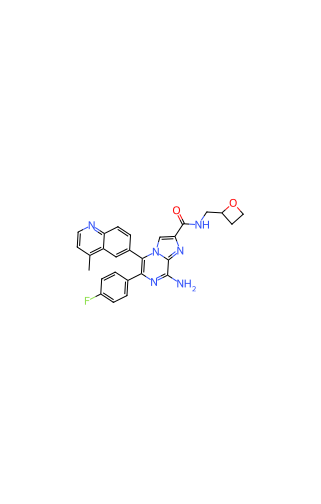 Cc1ccnc2ccc(-c3c(-c4ccc(F)cc4)nc(N)c4nc(C(=O)NCC5CCO5)cn34)cc12